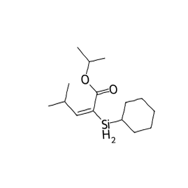 CC(C)C=C([SiH2]C1CCCCC1)C(=O)OC(C)C